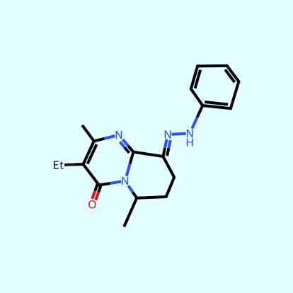 CCc1c(C)nc2n(c1=O)C(C)CCC2=NNc1ccccc1